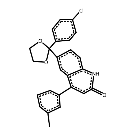 Cc1cccc(-c2cc(=O)[nH]c3ccc(C4(c5ccc(Cl)cc5)OCCO4)cc23)c1